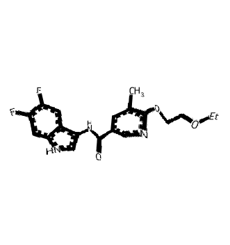 CCOCCOc1ncc(C(=O)Nc2c[nH]c3cc(F)c(F)cc23)cc1C